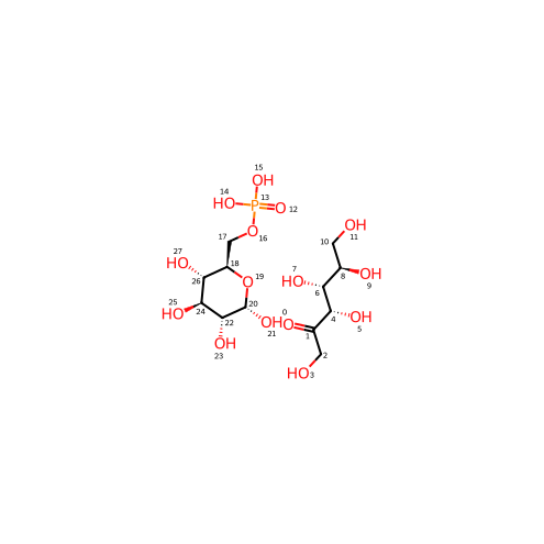 O=C(CO)[C@@H](O)[C@H](O)[C@H](O)CO.O=P(O)(O)OC[C@H]1O[C@H](O)[C@H](O)[C@@H](O)[C@@H]1O